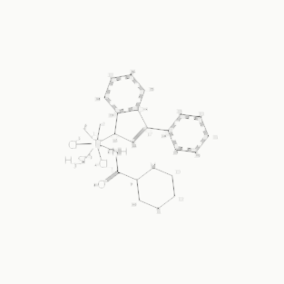 [CH3][Ti]([CH3])([SiH3])([Cl])([Cl])([NH]C(=O)C1CCCCC1)[CH]1C=C(c2ccccc2)c2ccccc21